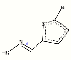 O/N=C/c1ccc(Br)s1